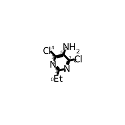 CCc1nc(Cl)c(N)c(Cl)n1